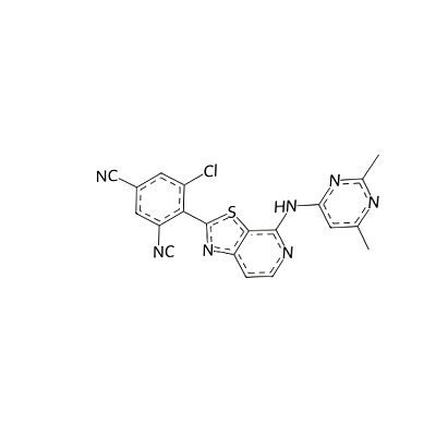 [C-]#[N+]c1cc(C#N)cc(Cl)c1-c1nc2ccnc(Nc3cc(C)nc(C)n3)c2s1